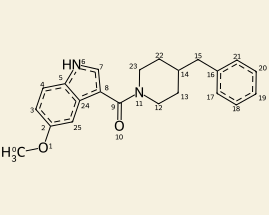 COc1ccc2[nH]cc(C(=O)N3CCC(Cc4ccccc4)CC3)c2c1